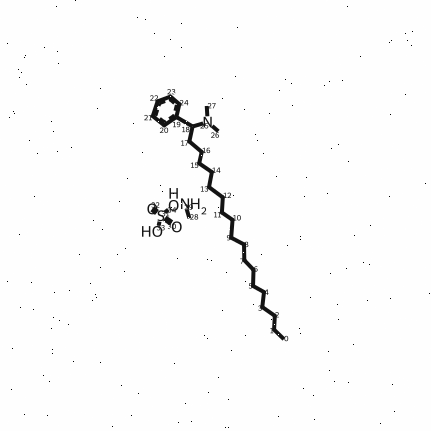 CCCCCCCCCCCCCCCCCCC(c1ccccc1)N(C)C.CN.O=S(=O)(O)O